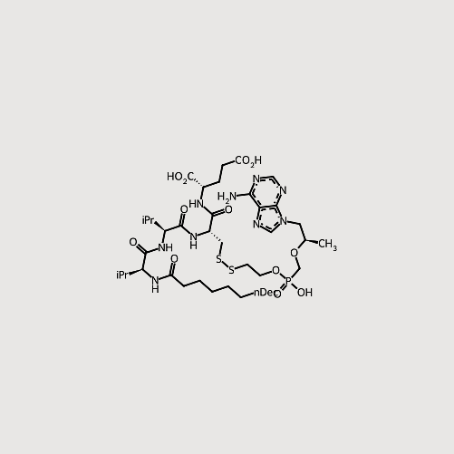 CCCCCCCCCCCCCCCC(=O)N[C@H](C(=O)N[C@H](C(=O)N[C@@H](CSSCCOP(=O)(O)CO[C@H](C)Cn1cnc2c(N)ncnc21)C(=O)N[C@@H](CCC(=O)O)C(=O)O)C(C)C)C(C)C